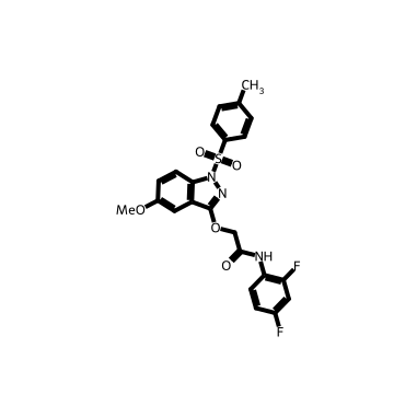 COc1ccc2c(c1)c(OCC(=O)Nc1ccc(F)cc1F)nn2S(=O)(=O)c1ccc(C)cc1